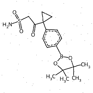 CC1(C)OB(c2ccc(C3(C(=O)CS(N)(=O)=O)CC3)cc2)OC1(C)C